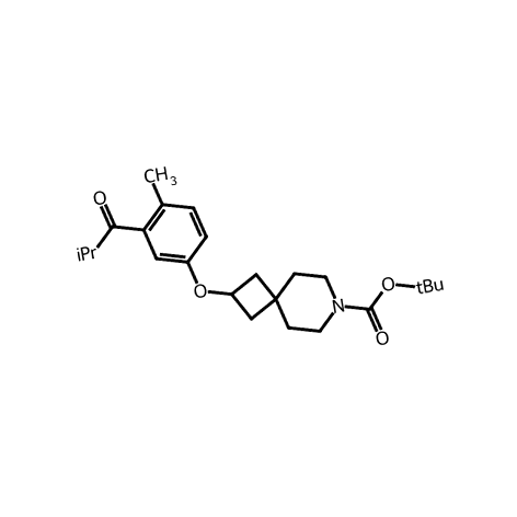 Cc1ccc(OC2CC3(CCN(C(=O)OC(C)(C)C)CC3)C2)cc1C(=O)C(C)C